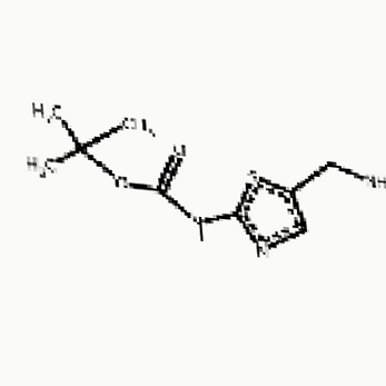 CC(C)(C)OC(=O)Nc1ncc(CN)s1